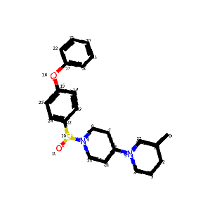 CC1CCCN(C2CCN([S+]([O-])c3ccc(Oc4ccccc4)cc3)CC2)C1